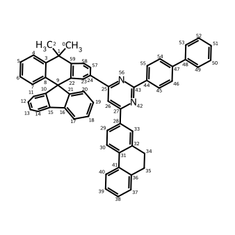 CC1(C)c2ccccc2C2(c3ccccc3-c3ccccc32)c2cc(-c3cc(-c4ccc5c(c4)CCc4ccccc4-5)nc(-c4ccc(-c5ccccc5)cc4)n3)ccc21